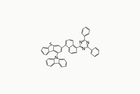 c1ccc(-c2nc(-c3ccccc3)nc(-c3cccc4c(-c5cc(-n6c7ccccc7c7ccccc76)c6c(c5)sc5ccccc56)cccc34)n2)cc1